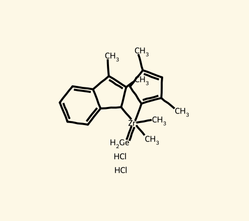 CC1=CC(C)=[C]([Zr]([CH3])([CH3])(=[GeH2])[CH]2C(C)=C(C)c3ccccc32)C1.Cl.Cl